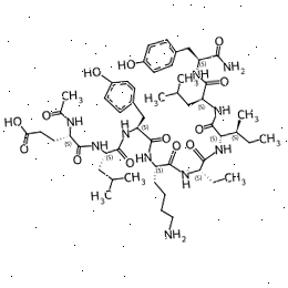 CC[C@H](NC(=O)[C@H](CCCCN)NC(=O)[C@H](Cc1ccc(O)cc1)NC(=O)[C@H](CC(C)C)NC(=O)[C@H](CCC(=O)O)NC(C)=O)C(=O)N[C@H](C(=O)N[C@@H](CC(C)C)C(=O)N[C@@H](Cc1ccc(O)cc1)C(N)=O)[C@@H](C)CC